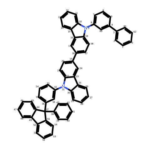 c1ccc(-c2cccc(-n3c4ccccc4c4cc(-c5ccc6c(c5)c5ccccc5n6-c5cccc(C6(c7ccccc7)c7ccccc7-c7ccccc76)c5)ccc43)c2)cc1